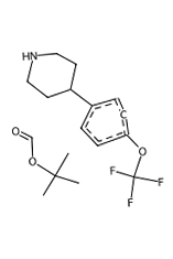 CC(C)(C)OC=O.FC(F)(F)Oc1ccc(C2CCNCC2)cc1